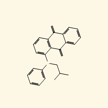 CC(C)CN(c1ccccc1)c1cccc2c1C(=O)c1ccccc1C2=O